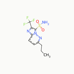 CCCc1ccc2nc(C(F)(F)F)c(S(N)(=O)=O)n2n1